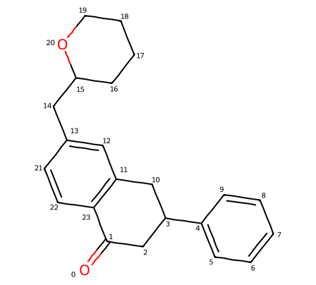 O=C1CC(c2ccccc2)Cc2cc(CC3CCCCO3)ccc21